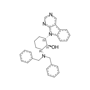 O[C@H]1[C@H](N(Cc2ccccc2)Cc2ccccc2)CCC[C@@H]1n1c2ccccc2c2cncnc21